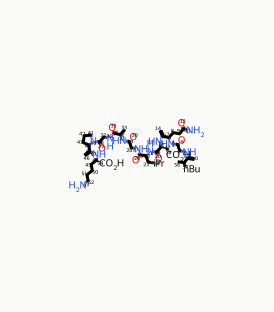 C=C(NCC(=O)NC(CCC(N)=O)C(=C)N[C@@H](CC(=O)O)C(=O)NC(CC(C)C)C(=O)NCC(=O)NC(C)C(=O)NCC(=O)N1CCCC1C(=C)N[C@@H](CCCCN)C(=O)O)C(C)CCCC